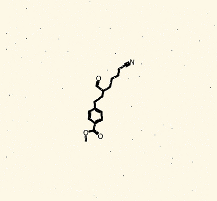 COC(=O)c1ccc(CCC(C=O)CCCCC#N)cc1